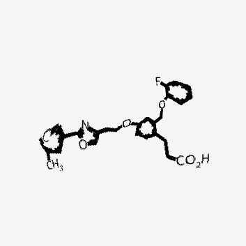 Cc1cccc(-c2nc(CCOc3ccc(CCC(=O)O)c(COc4ccccc4F)c3)co2)c1